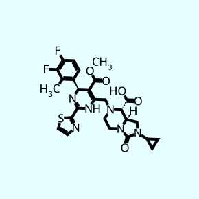 COC(=O)C1=C(CN2CCN3C(=O)N(C4CC4)C[C@@H]3[C@H]2C(=O)O)NC(c2nccs2)=N[C@H]1c1ccc(F)c(F)c1C